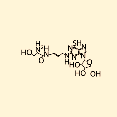 NC(CO)C(=O)NC/C=C/CNc1nc(S)c2ncn([C@@H]3O[C@H](CO)C(O)C3O)c2n1